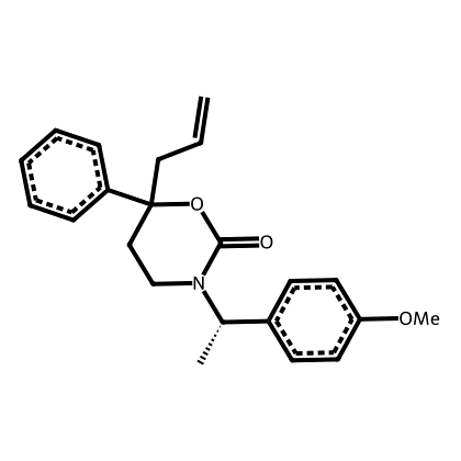 C=CCC1(c2ccccc2)CCN([C@@H](C)c2ccc(OC)cc2)C(=O)O1